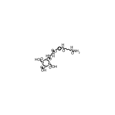 NC(=O)NCCCCC(=O)Nc1ccc(COC(=O)NCCNC(=O)CN2CCN(CC(=O)O)CCN(CC(=O)O)CCN(CC(=O)O)CC2)cc1